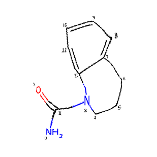 NC(=O)N1CCCc2ccccc21